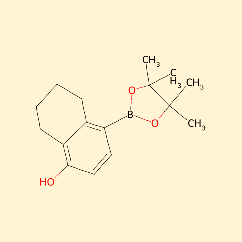 CC1(C)OB(c2ccc(O)c3c2CCCC3)OC1(C)C